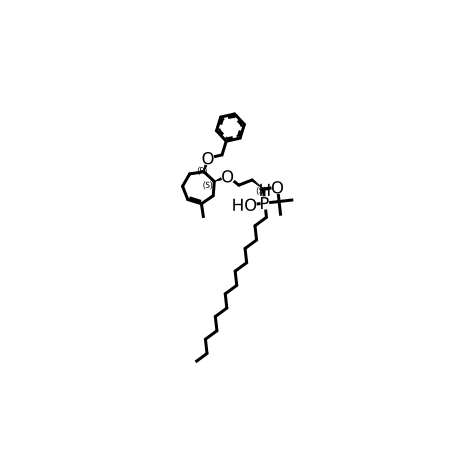 CCCCCCCCCCCCCC[PH]1(O)[C@@H](CCO[C@H]2CC(C)=CCC[C@H]2OCc2ccccc2)OC1(C)C